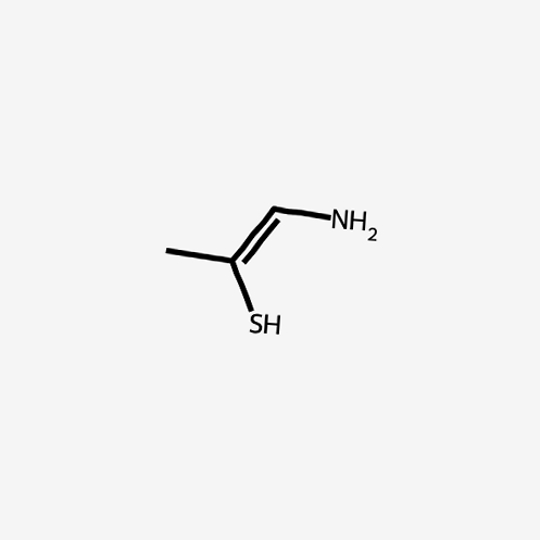 C/C(S)=C/N